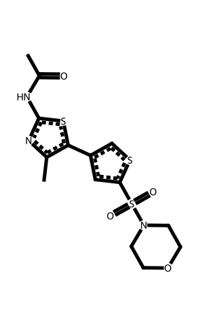 CC(=O)Nc1nc(C)c(-c2csc(S(=O)(=O)N3CCOCC3)c2)s1